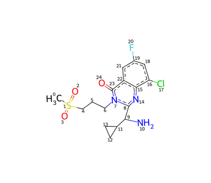 CS(=O)(=O)CCCn1c(C(N)C2CC2)nc2c(Cl)cc(F)cc2c1=O